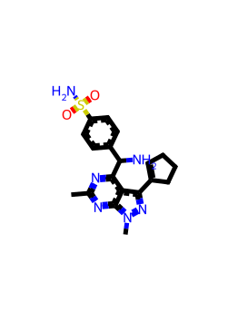 Cc1nc(C(N)c2ccc(S(N)(=O)=O)cc2)c2c(C3=CCCC3)nn(C)c2n1